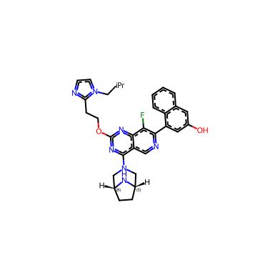 CC(C)Cn1ccnc1CCOc1nc(N2C[C@H]3CC[C@@H](C2)N3)c2cnc(-c3cc(O)cc4ccccc34)c(F)c2n1